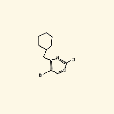 Clc1ncc(Br)c(CC2CCCCC2)n1